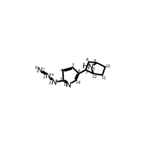 [N-]=[N+]=Nc1ccc(C2CC3CCC2N3)cn1